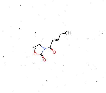 CCC=CC(=O)N1CCOC1=O